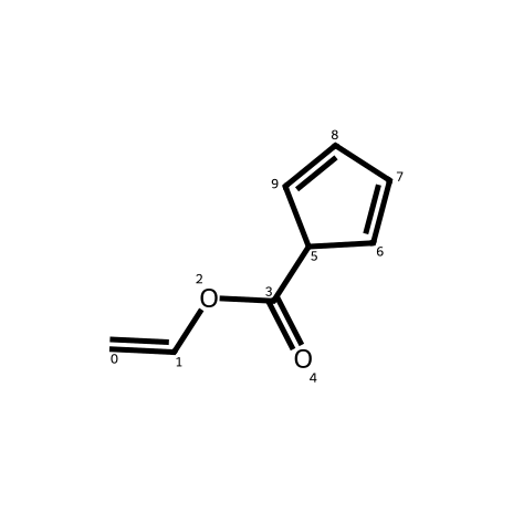 C=COC(=O)C1C=CC=C1